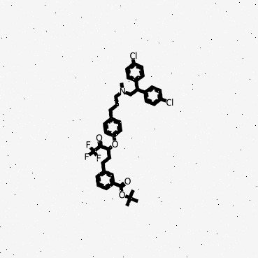 CN(CCCc1ccc(OC(CCc2cccc(C(=O)OC(C)(C)C)c2)C(=O)C(F)(F)F)cc1)CC(c1ccc(Cl)cc1)c1ccc(Cl)cc1